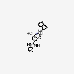 Cl.N=C(Nc1cccnc1)N1CCN(/C=C2/N=C(c3cccc4ccccc34)OC2=O)CC1